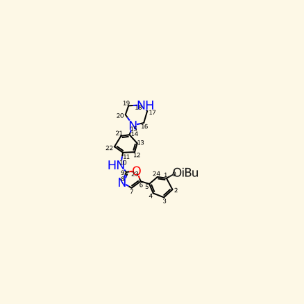 CC(C)COc1cccc(-c2cnc(Nc3ccc(N4CCNCC4)cc3)o2)c1